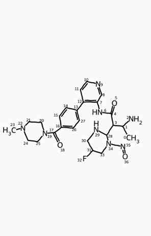 CC(N)C(C(=O)Nc1cnccc1-c1ccc(C(=O)N2CCN(C)CC2)cc1)C1NCC(F)CN1N=O